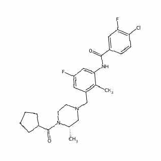 Cc1c(CN2CCN(C(=O)C3CCCC3)[C@@H](C)C2)cc(F)cc1NC(=O)c1ccc(Cl)c(F)c1